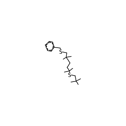 CC(C)(C)CSC(C)(C)CCC(C)(C)CSCc1ccccc1